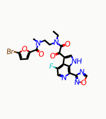 CCN(CCN(C)C(=O)c1ccc(Br)o1)C(=O)C(=O)c1c[nH]c2c(-c3ncon3)ncc(F)c12